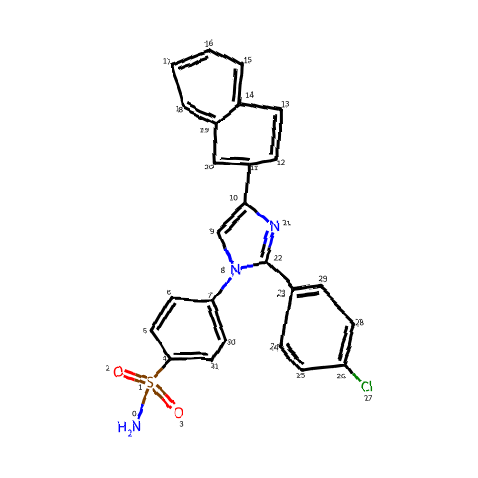 NS(=O)(=O)c1ccc(-n2cc(-c3ccc4ccccc4c3)nc2-c2ccc(Cl)cc2)cc1